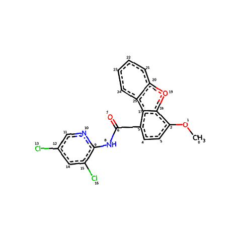 COc1ccc(C(=O)Nc2ncc(Cl)cc2Cl)c2c1oc1ccccc12